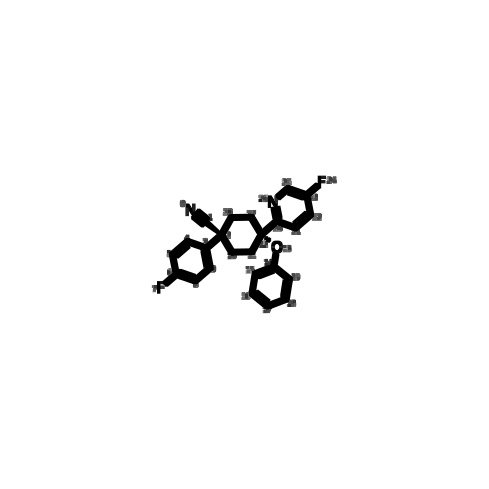 N#C[C@]1(c2ccc(F)cc2)CC[C@](Oc2ccccc2)(c2ccc(F)cn2)CC1